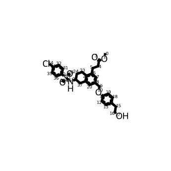 COC(=O)CCc1cc(COc2ccc(CCO)cc2)cc2c1CCC(NS(=O)(=O)c1ccc(Cl)cc1)C2